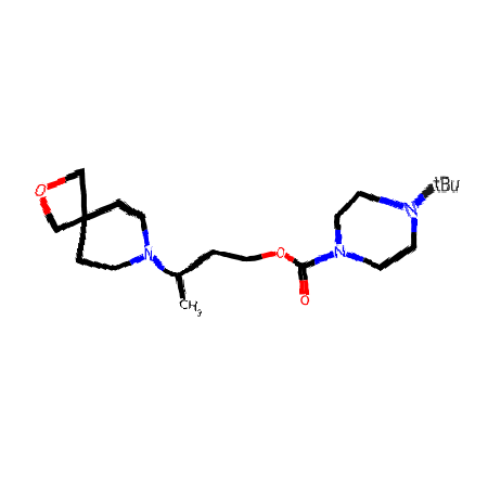 CC(CCOC(=O)N1CCN(C(C)(C)C)CC1)N1CCC2(CC1)COC2